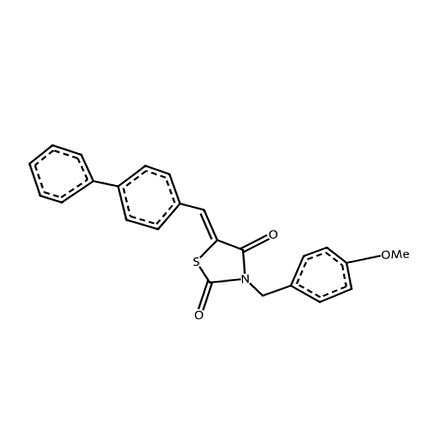 COc1ccc(CN2C(=O)S/C(=C\c3ccc(-c4ccccc4)cc3)C2=O)cc1